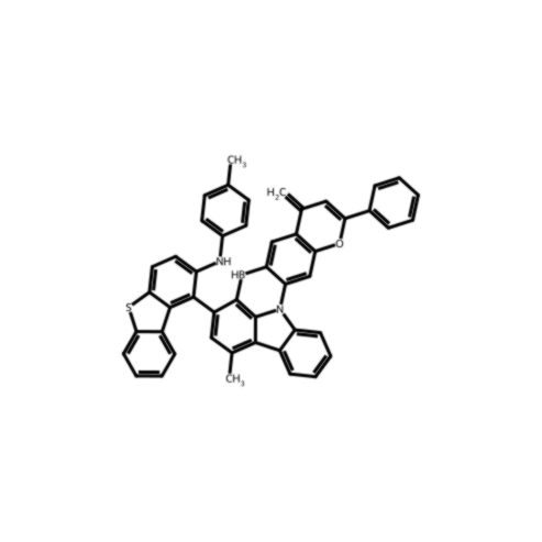 C=C1C=C(c2ccccc2)Oc2cc3c(cc21)Bc1c(-c2c(Nc4ccc(C)cc4)ccc4sc5ccccc5c24)cc(C)c2c4ccccc4n-3c12